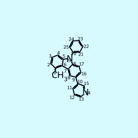 Cc1cccc2c1c1cc(-c3cccnc3)ccc1n2-c1ccccc1